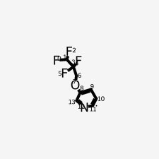 FC(F)C(F)(F)COc1cc[c]nc1